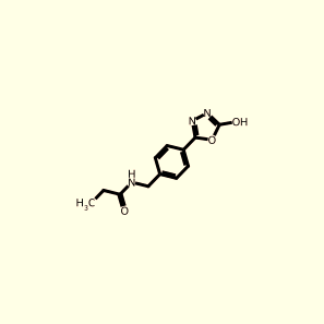 CCC(=O)NCc1ccc(-c2nnc(O)o2)cc1